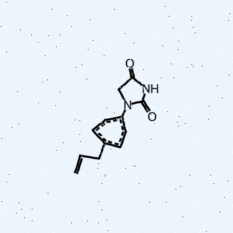 C=CCc1ccc(N2CC(=O)NC2=O)cc1